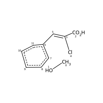 CO.O=C(O)C(Cl)=Cc1ccccc1